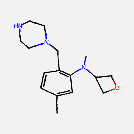 Cc1ccc(CN2CCNCC2)c(N(C)C2COC2)c1